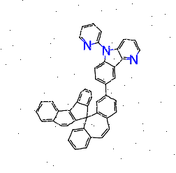 C1=Cc2ccc(-c3ccc4c(c3)c3ncccc3n4-c3ccccn3)cc2C2(c3ccccc31)c1ccccc1-c1c2ccc2ccccc12